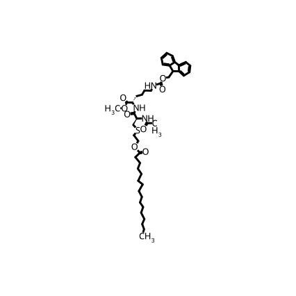 CCCCCCCCCCCCCCCC(=O)OCCSC[C@H](NC(C)=O)C(=O)N[C@@H](CCCCNC(=O)OCC1c2ccccc2-c2ccccc21)C(=O)OC